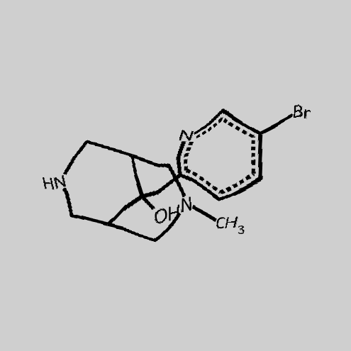 CN1CC2CNCC(C1)C2(O)c1ccc(Br)cn1